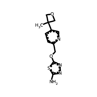 CC1(c2ccc(COc3nnc(N)s3)nc2)COC1